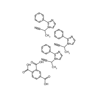 CC(C#N)n1ccnc1-c1ccccc1.CC(C#N)n1ccnc1-c1ccccc1.CC(C#N)n1ccnc1-c1ccccc1.O=C(O)c1ccc(C(=O)O)c(C(=O)O)c1